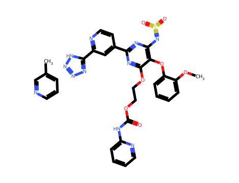 COc1ccccc1Oc1c(N=S(=O)=O)nc(-c2ccnc(-c3nnn[nH]3)c2)nc1OCCOC(=O)Nc1ccccn1.Cc1cccnc1